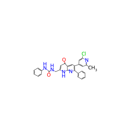 Cc1cc(-c2cc3c(=O)cc(CNC(=O)Nc4ccccc4)[nH]c3nc2-c2ccccc2)cc(Cl)n1